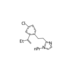 C=C(CC)c1cc(Cl)ccc1CCc1nccn1CCC